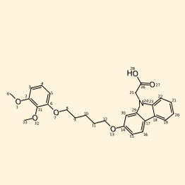 COc1cccc(OCCCCCOc2ccc3c4ccccc4n(CC(=O)O)c3c2)c1OC